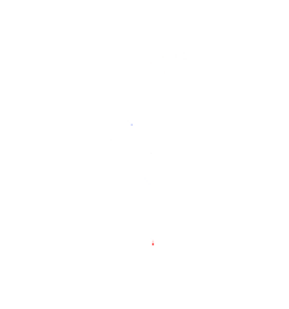 CS(=O)(=O)Nc1ccc(N2CCC[C@@]3(CCN([C@H]4CC[C@H](O)CC4)C3=O)C2)c(F)c1